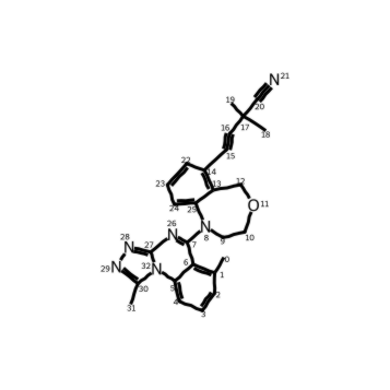 Cc1cccc2c1c(N1CCOCc3c(C#CC(C)(C)C#N)cccc31)nc1nnc(C)n12